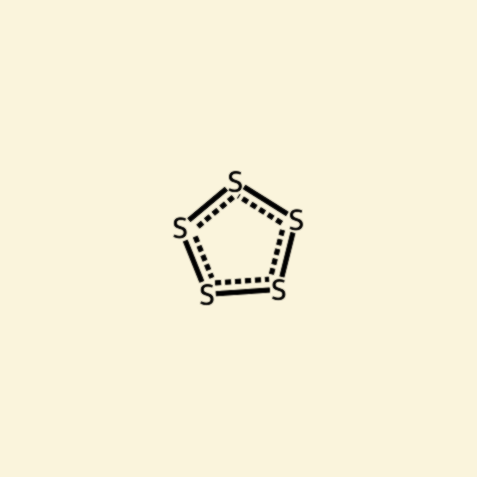 s1ssss1